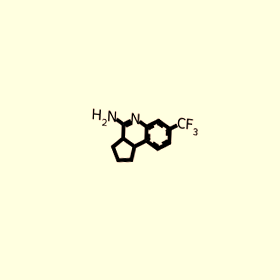 NC1=Nc2cc(C(F)(F)F)ccc2C2CCCC12